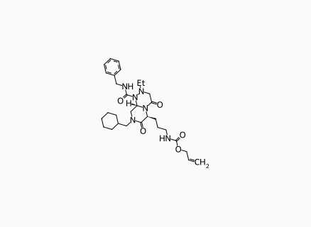 C=CCOC(=O)NCCC[C@H]1C(=O)N(CC2CCCCC2)C[C@H]2N1C(=O)CN(CC)N2C(=O)NCc1ccccc1